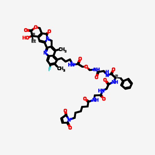 CC[C@@]1(O)C(=O)OCc2c1cc1n(c2=O)Cc2c-1nc1cc(F)c(C)c(CCCNC(=O)COCNC(=O)CNC(=O)[C@H](Cc3ccccc3)NC(=O)CNC(=O)CNC(=O)CCCCCN3C(=O)C=CC3=O)c1c2C